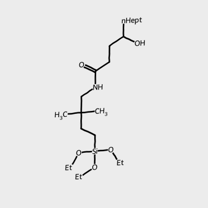 CCCCCCCC(O)CCC(=O)NCC(C)(C)CC[Si](OCC)(OCC)OCC